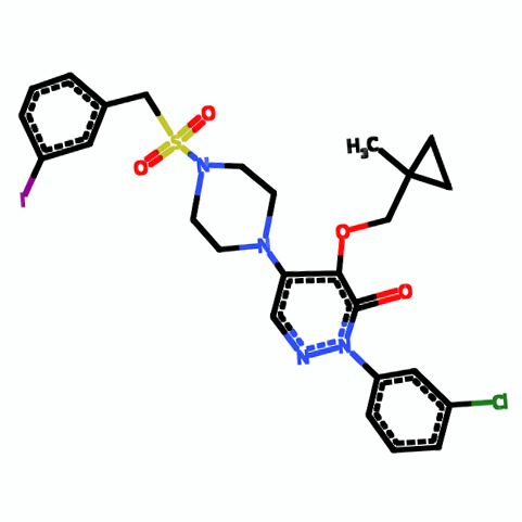 CC1(COc2c(N3CCN(S(=O)(=O)Cc4cccc(I)c4)CC3)cnn(-c3cccc(Cl)c3)c2=O)CC1